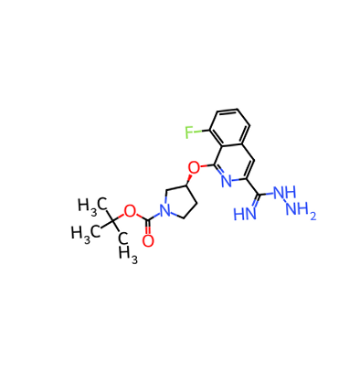 CC(C)(C)OC(=O)N1CC[C@H](Oc2nc(C(=N)NN)cc3cccc(F)c23)C1